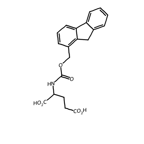 O=C(O)CCC(NC(=O)OCc1cccc2c1Cc1ccccc1-2)C(=O)O